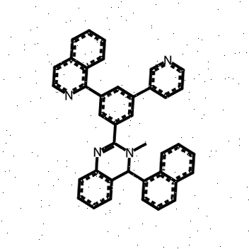 CN1C(c2cc(-c3cccnc3)cc(-c3nccc4ccccc34)c2)=Nc2ccccc2C1c1cccc2ccccc12